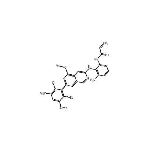 C=CC(=O)Nc1cccc(C)c1Nc1cc2c(OCC)nc(-c3c(Cl)c(OC)cc(OC)c3CC)cc2cn1